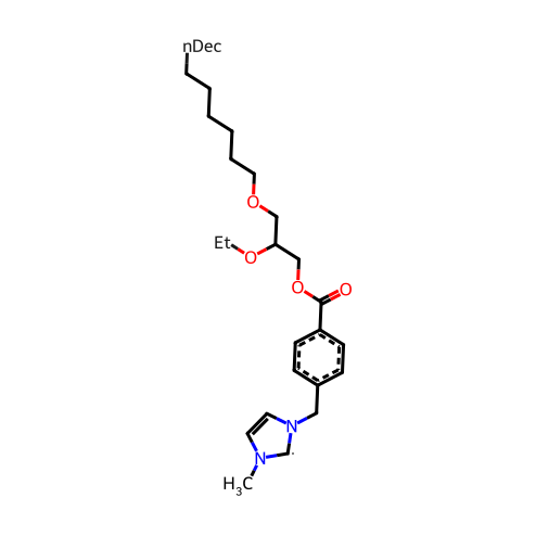 CCCCCCCCCCCCCCCCOCC(COC(=O)c1ccc(CN2[CH]N(C)C=C2)cc1)OCC